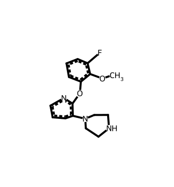 COc1c(F)cccc1Oc1ncccc1N1CCNCC1